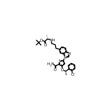 C[C@H](NCCCc1ccc2ncn(-c3cc(O[C@H](C)c4ccccc4Cl)c(C(N)=O)s3)c2c1)C(=O)OC(C)(C)C